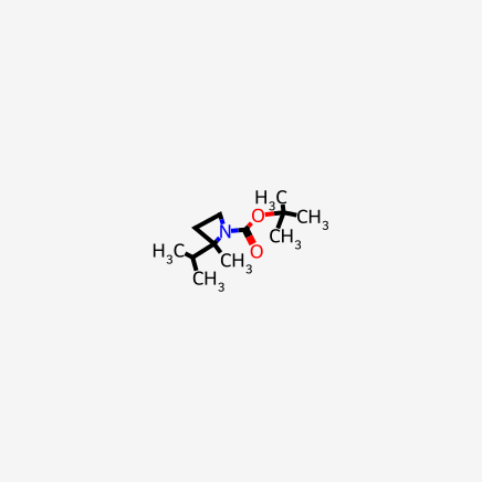 CC(C)C1(C)CCN1C(=O)OC(C)(C)C